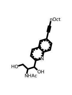 CCCCCCCCC#Cc1ccc2nc(C(O)C(CO)NC(C)=O)ccc2c1